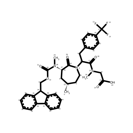 C[C@H]1CCN(C(Cc2ccc(C(F)(F)F)cc2)C(=O)N(C)CC(=O)O)C(=O)[C@@H](N(C)C(=O)OCC2c3ccccc3-c3ccccc32)C1